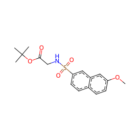 COc1ccc2ccc(S(=O)(=O)NCC(=O)OC(C)(C)C)cc2c1